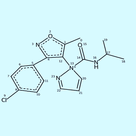 Cc1onc(-c2ccc(Cl)cc2)c1[N+]1(C(=O)NC(C)C)C=CC=N1